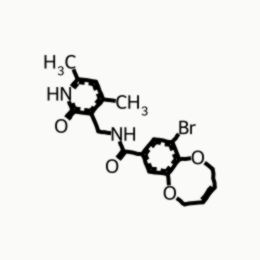 Cc1cc(C)c(CNC(=O)c2cc(Br)c3c(c2)OC/C=C\CO3)c(=O)[nH]1